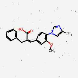 COc1cc(C=C(Cc2ccccc2)C(=O)O)ccc1-n1cnc(C)c1